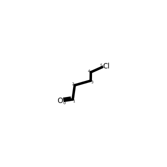 O=CCCCCl